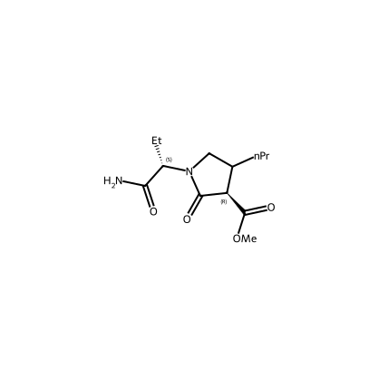 CCCC1CN([C@@H](CC)C(N)=O)C(=O)[C@@H]1C(=O)OC